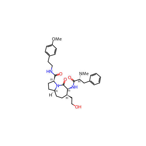 CN[C@H](Cc1ccccc1)C(=O)N[C@@H]1C(=O)N2[C@@H](CC[C@@H]1CCO)CC[C@H]2C(=O)NCCc1ccc(OC)cc1